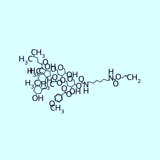 C=CCOC(=O)NCCCCCCNC(=O)OC1COC(OC2C(O)COC(OC3C[C@H]4C5CC=C6CC(O)CCC6(C)C5CCC4(C)[C@@]3(O)[C@H](C)C(=O)CCC(C)C)C2OC(C)=O)C(OC(=O)c2ccc(OC)cc2)C1O